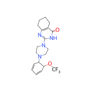 O=c1[nH]c(N2CCN(C3C=CC=CC3OC(F)(F)F)CC2)nc2c1CCCC2